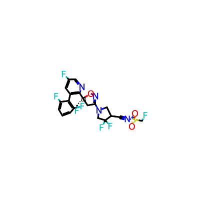 O=S(=O)(CF)[N+]#CC1CN(C2=NO[C@](CF)(c3ncc(F)cc3-c3c(F)cccc3F)C2)CC1(F)F